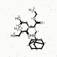 CCOC(=O)[C@H](CNC12CC3CC(CC(C3)C1)C2)N(CC(=O)O)C(=O)[C@H](C)CS